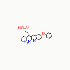 Nc1nc2ccc(Oc3ccccc3)cc2cc1[C@@H](CCC(=O)O)C1CCCCC1